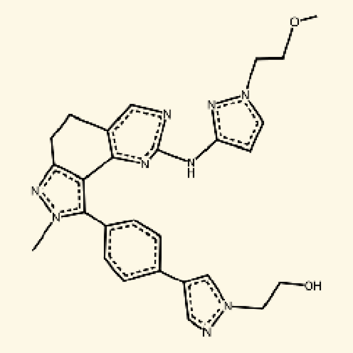 COCCn1ccc(Nc2ncc3c(n2)-c2c(nn(C)c2-c2ccc(-c4cnn(CCO)c4)cc2)CC3)n1